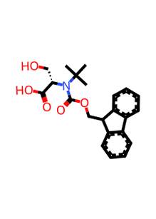 CC(C)(C)N(C(=O)OCC1c2ccccc2-c2ccccc21)[C@@H](CO)C(=O)O